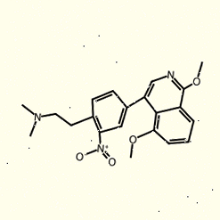 COc1ncc(-c2ccc(CCN(C)C)c([N+](=O)[O-])c2)c2c(OC)cccc12